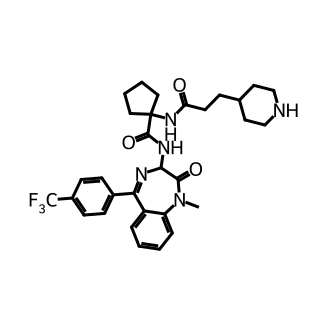 CN1C(=O)C(NC(=O)C2(NC(=O)CCC3CCNCC3)CCCC2)N=C(c2ccc(C(F)(F)F)cc2)c2ccccc21